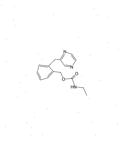 CCNC(=O)OCc1ccccc1Cc1cnccn1